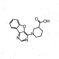 O=C(O)C1CCCN(c2ncnc3c2oc2ccccc23)C1